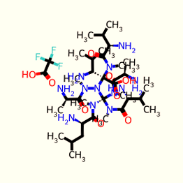 CC(C)C[C@@H](N)C(=O)N(C)[C@](N(C)C(=O)[C@@H](C)N)(N(C)C(=O)[C@H](N)C(C)C)N(N(C)C(=O)[C@@H](C)N)[C@@](C(=O)O)(C(N)C(C)C)N(C)C(=O)[C@H](N)C(C)C.O=C(O)C(F)(F)F